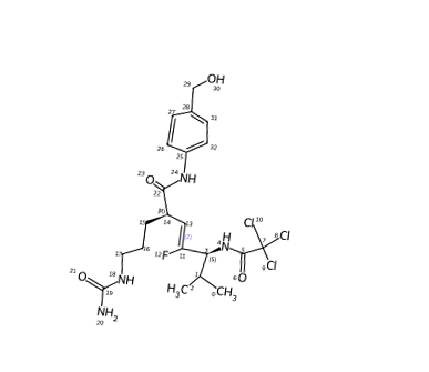 CC(C)[C@H](NC(=O)C(Cl)(Cl)Cl)/C(F)=C/[C@@H](CCCNC(N)=O)C(=O)Nc1ccc(CO)cc1